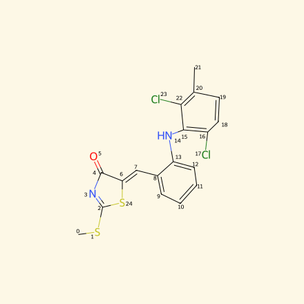 CSC1=NC(=O)/C(=C/c2ccccc2Nc2c(Cl)ccc(C)c2Cl)S1